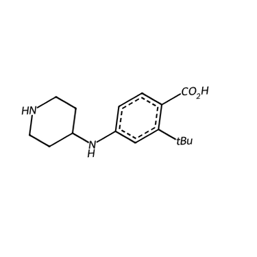 CC(C)(C)c1cc(NC2CCNCC2)ccc1C(=O)O